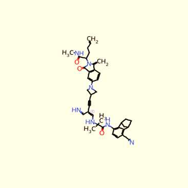 C=CCCC(C(=O)NC)N1C(=C)c2ccc(N3CC(C#C/C(C=N)=C/NC(C)(C)C(=O)Nc4ccc(C#N)c5c4C4CCC5C4)C3)cc2C1=O